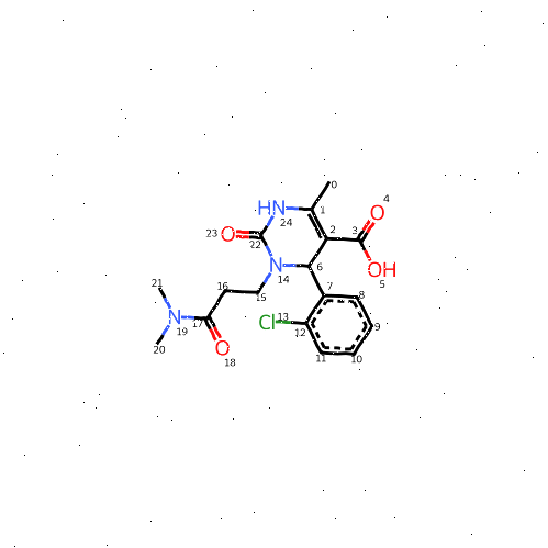 CC1=C(C(=O)O)C(c2ccccc2Cl)N(CCC(=O)N(C)C)C(=O)N1